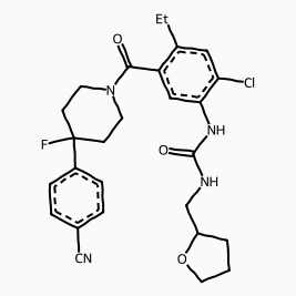 CCc1cc(Cl)c(NC(=O)NCC2CCCO2)cc1C(=O)N1CCC(F)(c2ccc(C#N)cc2)CC1